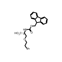 CC(C)CCOC[C@@H](NC(=O)OCC1c2ccccc2-c2ccccc21)C(=O)O